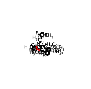 COc1nc(-c2cc(O[Si](C(C)C)(C(C)C)C(C)C)cc3ccc(F)c(C#C[Si](C(C)C)(C(C)C)C(C)C)c23)c(F)c2nc(OC[C@]3(C)CN(C)CC/C3=C\F)nc(N3CCOC[C@@](C)(O)C3)c12